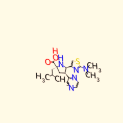 CC(C)C[C@@]1(C(=O)O)C[C@H](c2cnccn2)[C@H](c2csc(N(C)C)n2)N1